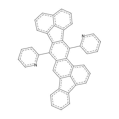 c1ccc(-c2c3cc4c5ccccc5c5cccc(c3c(-c3ccccn3)c3c6cccc7cccc(c23)c76)c54)nc1